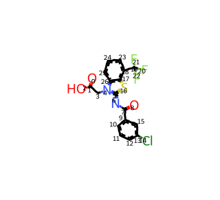 O=C(O)Cn1/c(=N/C(=O)c2cccc(Cl)c2)sc2c(C(F)(F)F)cccc21